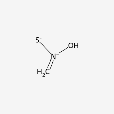 C=[N+](O)[S-]